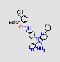 C=Cc1cccc(C(=O)NCc2ccc(-n3c(-c4cccnc4N)nc4ccc(-c5ccccc5)nc43)cc2)c1OC